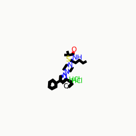 CCCCC1(N2CCN(n3cc(-c4ccccc4)c4ccccc43)CC2)NC(=O)C(C)(C)S1.Cl.Cl